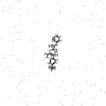 CC(C)[C@H](CC(=O)NCc1ccccn1)Nc1ccc(C(F)(F)F)cc1